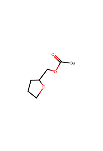 CCC(C)C(=O)OCC1CCCO1